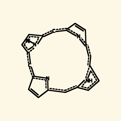 [Ni][n]1c2ccc1cc1nc(cc3ccc(cc4nc(c2)C=C4)[nH]3)C=C1